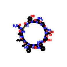 CCCCC[C@H]1C(=O)N[C@@H](CC(C)C)C(=O)N[C@H](C(=O)NCC(N)=O)CSCC(=O)N[C@@H](Cc2ccc(O)cc2)C(=O)N(C)[C@@H](C)C(=O)N[C@@H](CC(N)=O)C(=O)N2CCC[C@H]2C(=O)N[C@@H](CN)C(=O)N[C@@H](CCC(=O)O)C(=O)N2C[C@H](O)C[C@H]2C(=O)N[C@@H](Cc2c[nH]c3ccccc23)C(=O)N[C@@H](CO)C(=O)N[C@@H](Cc2c[nH]c3ccccc23)C(=O)N(C)[C@@H](CCCC)C(=O)N1C